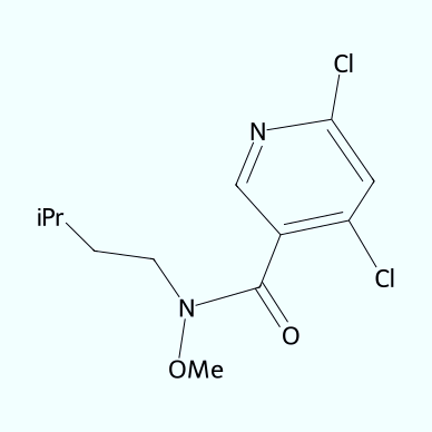 CON(CCC(C)C)C(=O)c1cnc(Cl)cc1Cl